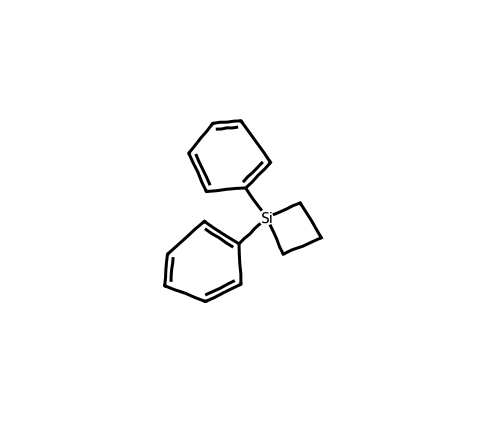 c1ccc([Si]2(c3ccccc3)CCC2)cc1